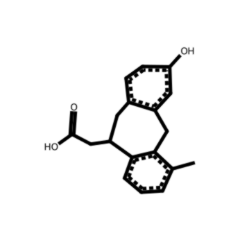 Cc1cccc2c1Cc1cc(O)ccc1CC2CC(=O)O